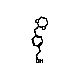 OCCc1ccc(CC2OCCCO2)cc1